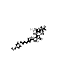 CCN(CC)S(=O)(=O)c1sc(C)c(Nc2n[s+]([O-])nc2N[C@@H](c2cc(CCCCN3CCN(C)CC3)co2)C(C)(C)C)c1O